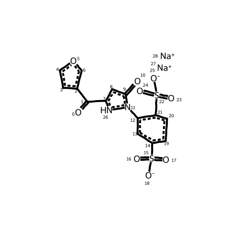 O=C(c1ccoc1)c1cc(=O)n(-c2cc(S(=O)(=O)[O-])ccc2S(=O)(=O)[O-])[nH]1.[Na+].[Na+]